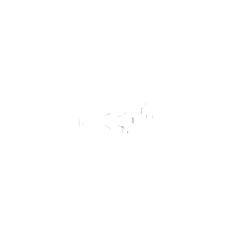 COC(=O)c1cnc2cc(CBr)ccc2c1